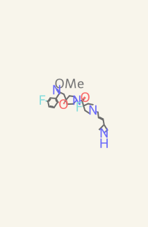 CO/N=C1\CC2(CCN(C(=O)C3(F)CCN(C/C=C/C4CNC4)CC3)CC2)Oc2ccc(F)cc21